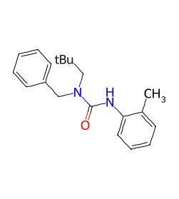 Cc1ccccc1NC(=O)N(Cc1ccccc1)CC(C)(C)C